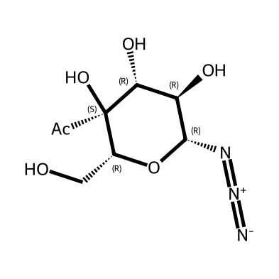 CC(=O)[C@]1(O)[C@H](O)[C@@H](O)[C@H](N=[N+]=[N-])O[C@@H]1CO